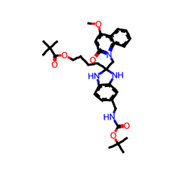 COc1cc(=O)n(CC2(CCCCOC(=O)C(C)(C)C)Nc3ccc(CNC(=O)OC(C)(C)C)cc3N2)c2ccccc12